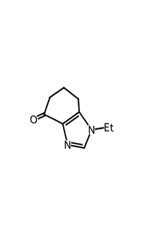 CCn1cnc2c1CCCC2=O